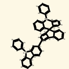 c1ccc(N2c3ccccc3C3(c4ccccc4-c4cc(-c5ccc6c7ccccc7n(-c7ccccc7)c6c5)ccc43)c3ccccc32)cc1